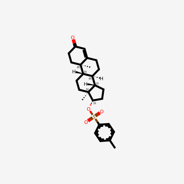 Cc1ccc(S(=O)(=O)O[C@H]2CC[C@H]3[C@@H]4CCC5=CC(=O)CC[C@]5(C)[C@H]4CC[C@]23C)cc1